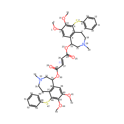 COc1cc2c(c(Sc3ccccc3)c1OC)CCN(C)CC2OC(=O)/C=C/C(=O)OC1CN(C)CCc2c1cc(OC)c(OC)c2Sc1ccccc1